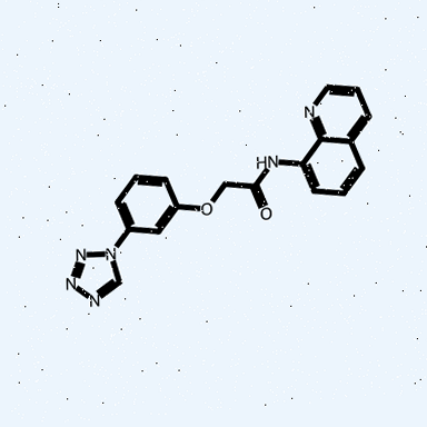 O=C(COc1cccc(-n2cnnn2)c1)Nc1cccc2cccnc12